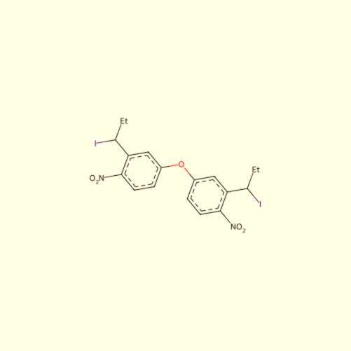 CCC(I)c1cc(Oc2ccc([N+](=O)[O-])c(C(I)CC)c2)ccc1[N+](=O)[O-]